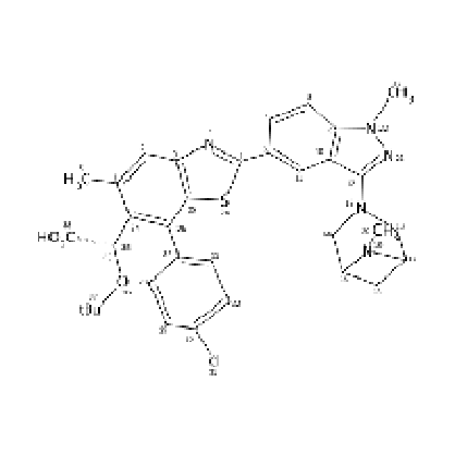 Cc1cc2nc(-c3ccc4c(c3)c(N3CC5CC(C3)N5C)nn4C)sc2c(-c2ccc(Cl)cc2)c1[C@H](OC(C)(C)C)C(=O)O